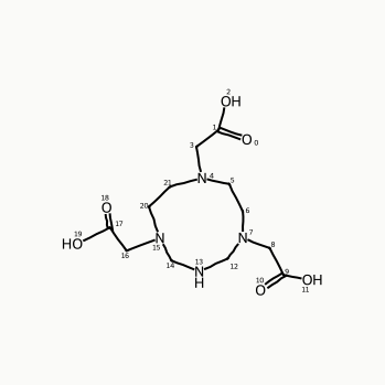 O=C(O)CN1CCN(CC(=O)O)CNCN(CC(=O)O)CC1